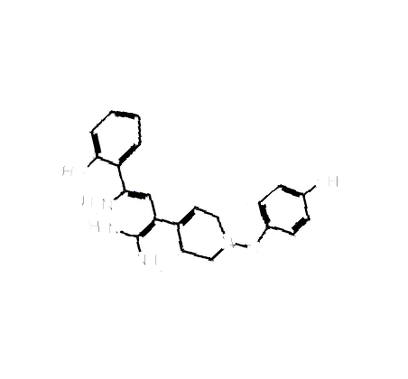 Cc1ccc(SN2CC=C(C(/C=C(\N)c3ccccc3O)=C(N)N)CC2)cc1